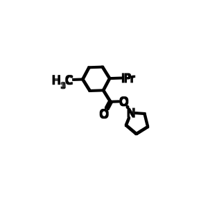 CC1CCC(C(C)C)C(C(=O)ON2CCCC2)C1